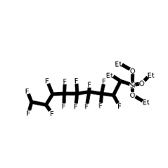 CCO[Si](OCC)(OCC)C(CC)C(F)C(F)(F)C(F)(F)C(F)(F)C(F)(F)C(F)C(F)C(F)F